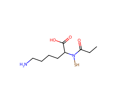 CCC(=O)N(S)C(CCCCN)C(=O)O